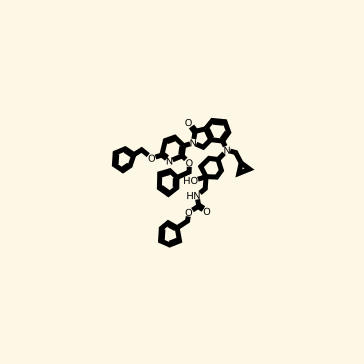 O=C(NCC1(O)CCC(N(CC2CC2)c2cccc3c2CN(c2ccc(OCc4ccccc4)nc2OCc2ccccc2)C3=O)CC1)OCc1ccccc1